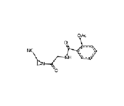 CC(=O)Oc1ccccc1C(=O)NCC(=O)N1CC1C#N